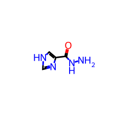 NNC(=O)c1c[nH]cn1